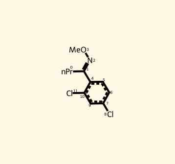 CCC/C(=N\OC)c1ccc(Cl)cc1Cl